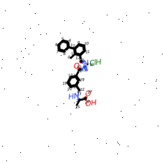 Cc1c(-c2ccccc2)cccc1-c1nnc(-c2cccc(CNC(C)C(=O)O)c2)o1.Cl